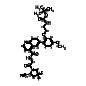 COc1ccc(-c2ccc3nccc(C(=O)NCC(=O)N4CC(F)(F)C[C@H]4C#N)c3c2)c(OCCNC(=O)OC(C)(C)C)c1